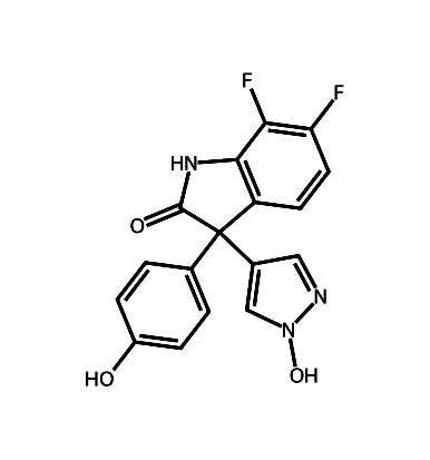 O=C1Nc2c(ccc(F)c2F)C1(c1ccc(O)cc1)c1cnn(O)c1